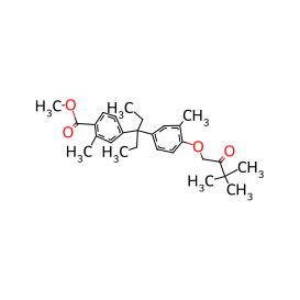 CCC(CC)(c1ccc(OCC(=O)C(C)(C)C)c(C)c1)c1ccc(C(=O)OC)c(C)c1